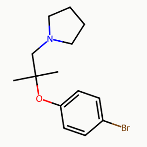 CC(C)(CN1CCCC1)Oc1ccc(Br)cc1